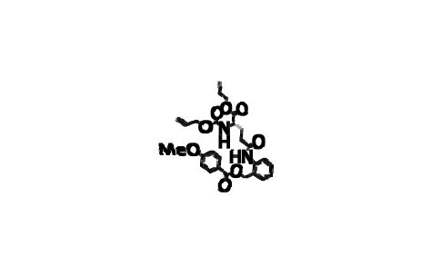 C=CCOC(=O)N[C@@H](CCC(=O)Nc1ccccc1COC(=O)c1ccc(OC)cc1)C(=O)OCC=C